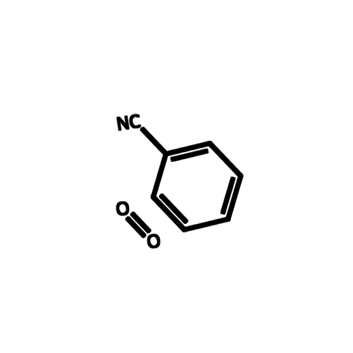 N#Cc1ccccc1.O=O